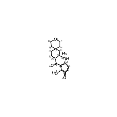 O=C1c2c(O)c(=O)ccn2N[C@@H]2CC3(CCOCC3)CCN12